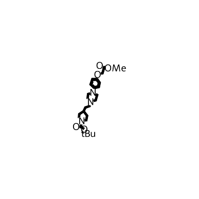 COC(=O)COc1ccc(N2CCN(CCC3CCN(C(=O)OC(C)(C)C)CC3)CC2)cc1